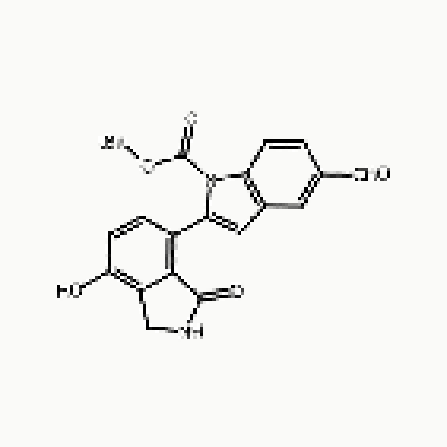 CC(C)(C)OC(=O)n1c(-c2ccc(O)c3c2C(=O)NC3)cc2cc(C=O)ccc21